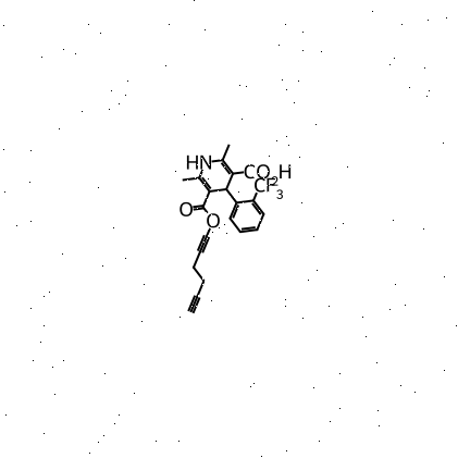 C#CCCC#COC(=O)C1=C(C)NC(C)=C(C(=O)O)C1c1ccccc1C(F)(F)F